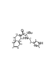 CC[C@H](C)[C@H](NCCc1c[nH]cn1)C(=O)N1CCc2ccccc2C1